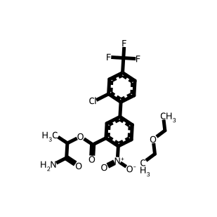 CC(OC(=O)c1cc(-c2ccc(C(F)(F)F)cc2Cl)ccc1[N+](=O)[O-])C(N)=O.CCOCC